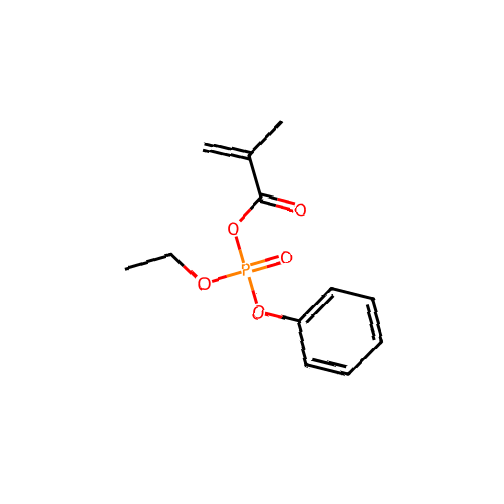 C=C(C)C(=O)OP(=O)(OCC)Oc1ccccc1